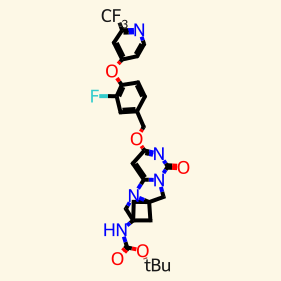 CC(C)(C)OC(=O)NC12CN3c4cc(OCc5ccc(Oc6ccnc(C(F)(F)F)c6)c(F)c5)nc(=O)n4CC3(C1)C2